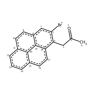 CC(=O)Cc1c(Br)cc2ccc3cccc4ccc1c2c34